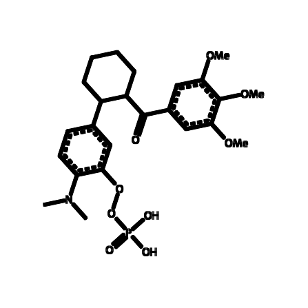 COc1cc(C(=O)C2CCCCC2c2ccc(N(C)C)c(OOP(=O)(O)O)c2)cc(OC)c1OC